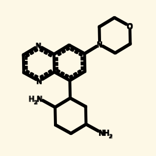 NC1CCC(N)C(c2cc(N3CCOCC3)cc3nccnc23)C1